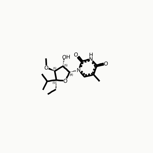 CC[C@@]1(C(C)C)O[C@@H](n2cc(C)c(=O)[nH]c2=O)[C@@H](O)[C@@H]1OC